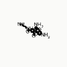 [N-]=[N+]=NCCCNC(=O)c1ccc2c(c1)C(=O)OC21c2ccc(N)cc2Oc2cc(N)ccc21